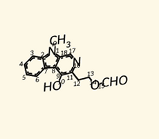 Cn1c2ccccc2c2c(O)c(CCOC=O)ncc21